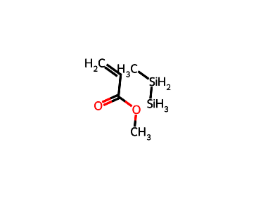 C=CC(=O)OC.C[SiH2][SiH3]